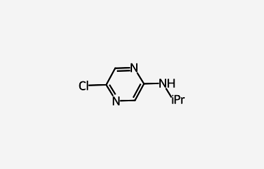 CC(C)Nc1cnc(Cl)cn1